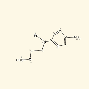 CCN(CCOC=O)c1ccc(N)cc1